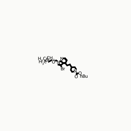 CCCCOC(=O)N1CCC(CCc2ccnc3c2c(Br)cn3COCC[Si](C)(C)C)CC1